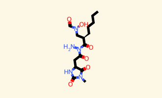 CCCCC[C@H](CN(O)C=O)C(=O)N(N)C(=O)CC1NC(=O)N(C)C1=O